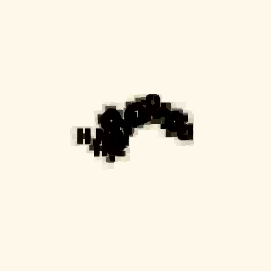 CCN(CC(N)=O)CC(c1ccccc1)N1CCCN(C(=O)[CH]Cc2ccc(Cl)cc2)CC1